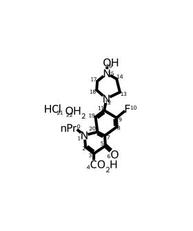 CCCn1cc(C(=O)O)c(=O)c2cc(F)c(N3CCN(O)CC3)cc21.Cl.O